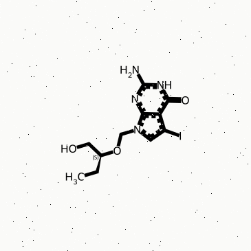 CC[C@@H](CO)OCn1cc(I)c2c(=O)[nH]c(N)nc21